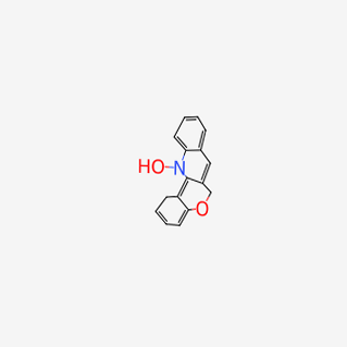 ON1C2=C3CC=CC=C3OCC2=Cc2ccccc21